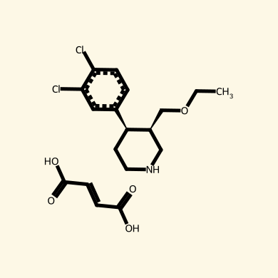 CCOC[C@H]1CNCC[C@H]1c1ccc(Cl)c(Cl)c1.O=C(O)/C=C/C(=O)O